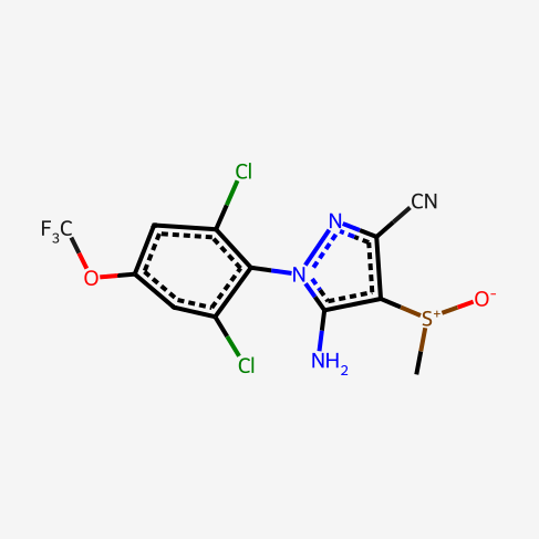 C[S+]([O-])c1c(C#N)nn(-c2c(Cl)cc(OC(F)(F)F)cc2Cl)c1N